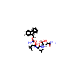 CC(C)C[C@H](NC(=O)[C@@H](NC(=O)OCC1c2ccccc2-c2ccccc21)C(C)C)C(=O)N[C@@H](CCC(N)=O)C(=O)O